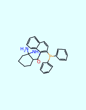 NC1(N)CCCCC1C(=O)c1c(P(c2ccccc2)c2ccccc2)ccc2ccccc12